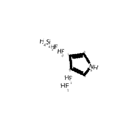 F.F.F.F.[SiH4].c1cc[nH]c1